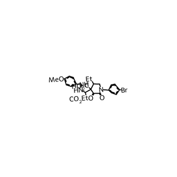 CCOC(=O)C(NNc1ccc(OC)cc1)C1(C(=O)O)C(=O)C(=O)N(c2ccc(Br)cc2)CC1CC